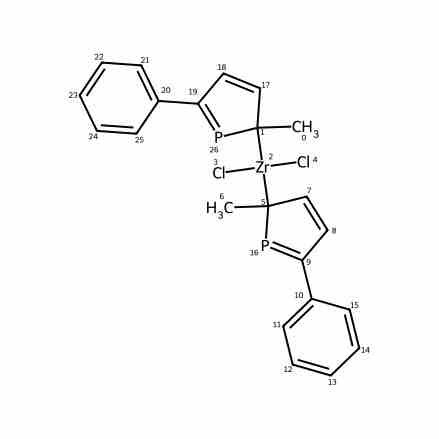 C[C]1([Zr]([Cl])([Cl])[C]2(C)C=CC(c3ccccc3)=P2)C=CC(c2ccccc2)=P1